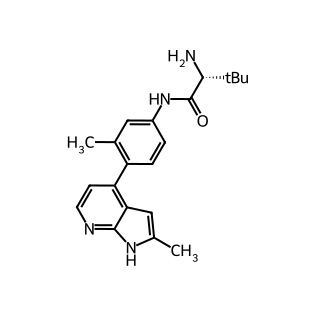 Cc1cc2c(-c3ccc(NC(=O)[C@H](N)C(C)(C)C)cc3C)ccnc2[nH]1